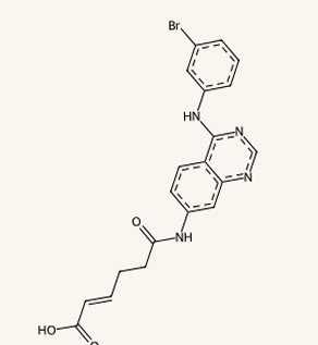 O=C(O)C=CCCC(=O)Nc1ccc2c(Nc3cccc(Br)c3)ncnc2c1